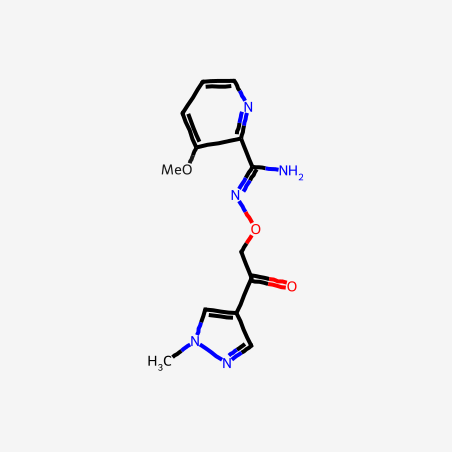 COc1cccnc1C(N)=NOCC(=O)c1cnn(C)c1